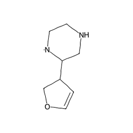 C1=CC(C2CNCC[N]2)CO1